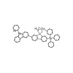 CCC1(CC)c2cc(-c3ccc4c(c3)c3ccccc3n4-c3ccccn3)ccc2-c2ccc([Si](c3ccccc3)(c3ccccc3)c3ccccc3)cc21